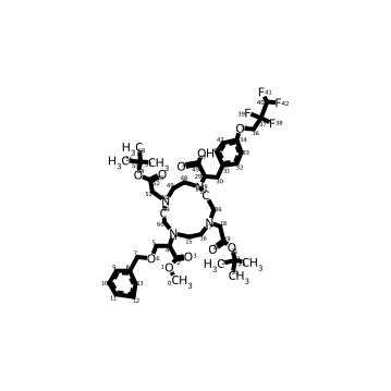 COC(=O)C(COCc1ccccc1)N1CCN(CC(=O)OC(C)(C)C)CCN(C(Cc2ccc(OCC(F)(F)C(F)F)cc2)C(=O)O)CCN(CC(=O)OC(C)(C)C)CC1